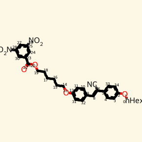 CCCCCCOc1ccc(/C(C#N)=C/c2ccc(OCCCCCCOC(=O)c3cc([N+](=O)[O-])cc([N+](=O)[O-])c3)cc2)cc1